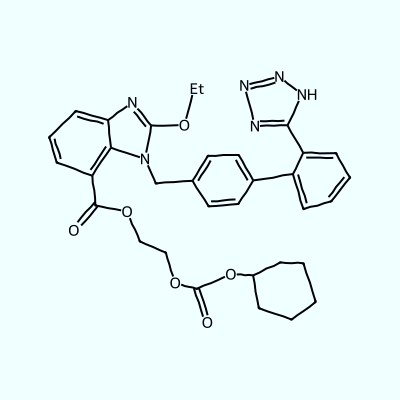 CCOc1nc2cccc(C(=O)OCCOC(=O)OC3CCCCC3)c2n1Cc1ccc(-c2ccccc2-c2nnn[nH]2)cc1